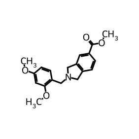 COC(=O)c1ccc2c(c1)CN(Cc1ccc(OC)cc1OC)C2